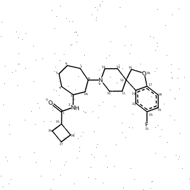 O=C(NC1CCCCC(N2CCC3(CC2)COc2ccc(F)cc23)C1)C1CCC1